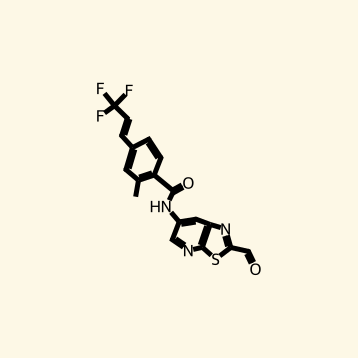 Cc1cc(/C=C/C(F)(F)F)ccc1C(=O)Nc1cnc2sc(C=O)nc2c1